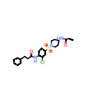 C=CC(=O)NC1CCN(S(=O)(=O)c2ccc(NC(=O)CCc3ccccc3)c(Cl)c2)CC1